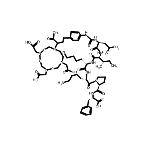 CC[C@H](C)[C@H](NC(=O)[C@H](CC(C)C)NC(=S)Nc1ccc(CCC(C(=O)O)N2CCN(CC(=O)O)CCN(CC(=O)O)CCN(CC(=O)O)CC2)cc1)C(=O)N[C@@H](CCCCN)C(=O)N[C@@H](CCCCN)C(=O)N1CCC[C@H]1C(=O)N[C@@H](Cc1ccccc1)C(=O)O